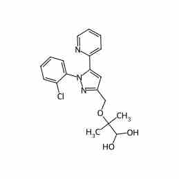 CC(C)(OCc1cc(-c2ccccn2)n(-c2ccccc2Cl)n1)C(O)O